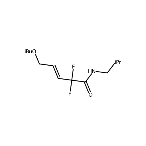 CC(C)CNC(=O)C(F)(F)C=CCOCC(C)C